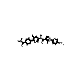 Cc1cc(NC(=O)c2cnn(-c3ccc(C(F)(F)F)cn3)c2C)cnc1C1=CCC(C(=O)N(C)C)CC1